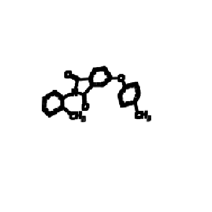 Cc1ccc(Oc2ccc3c(c2)C(=O)N(c2ccccc2C)C3=O)cc1